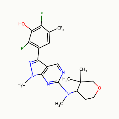 CN(c1ncc2c(-c3cc(C(F)(F)F)c(F)c(O)c3F)nn(C)c2n1)C1CCOCC1(C)C